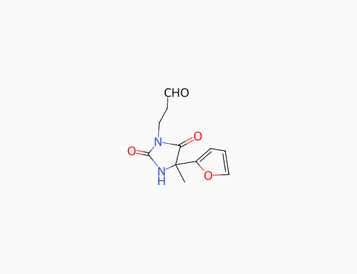 CC1(c2ccco2)NC(=O)N(CCC=O)C1=O